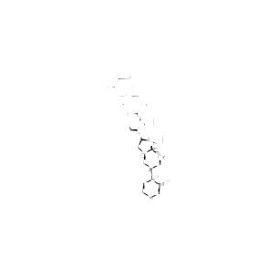 O=C(NC1CCS2(CCCCC2)CC1)c1cc2cc(-c3ccccc3F)cnc2[nH]1